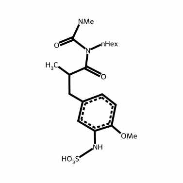 CCCCCCN(C(=O)NC)C(=O)C(C)Cc1ccc(OC)c(NS(=O)(=O)O)c1